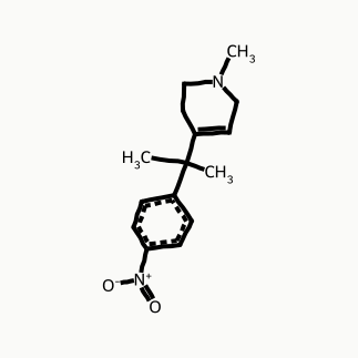 CN1CC=C(C(C)(C)c2ccc([N+](=O)[O-])cc2)CC1